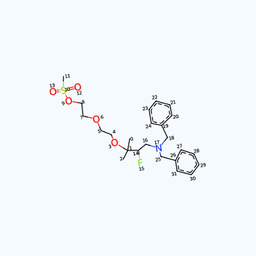 CC(C)(OCCOCCOS(C)(=O)=O)C(F)CN(Cc1ccccc1)Cc1ccccc1